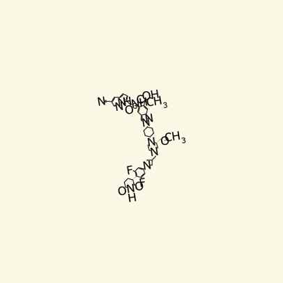 COC[C@@H]1CN(CC2CN(c3cc(F)c([C@H]4CCC(=O)NC4=O)c(F)c3)C2)CCN1C1CCC(n2cc3cc(NC(=O)c4ccc5cc(C#N)cnn45)c(C(C)(C)O)cc3n2)CC1